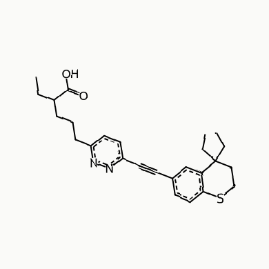 CCC(CCCc1ccc(C#Cc2ccc3c(c2)C(CC)(CC)CCS3)nn1)C(=O)O